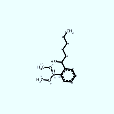 CCCCCC(S)c1ccccc1[SiH](OC)OC